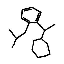 CC(C)Cc1ccccc1C(C)C1CCCCC1